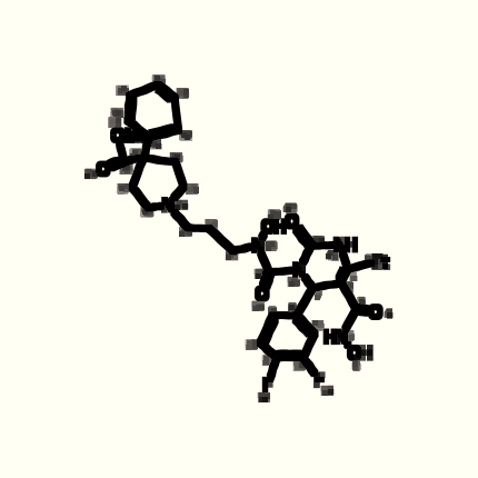 CCC1=C(C(=O)NO)C(c2ccc(F)c(F)c2)N(C(=O)N(O)CCCN2CCC(C(=O)OC)(c3ccccc3)CC2)C(=O)N1